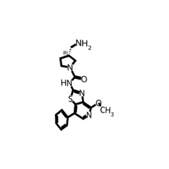 COc1ncc(-c2ccccc2)c2sc(NC(=O)N3CC[C@H](CN)C3)nc12